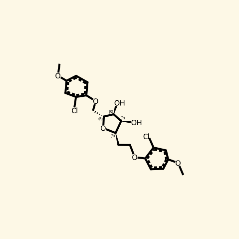 COc1ccc(OCC[C@H]2O[C@H](COc3ccc(OC)cc3Cl)[C@@H](O)[C@H]2O)c(Cl)c1